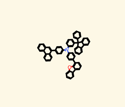 c1ccc(C2(c3cccc(N(c4ccc(-c5cc6ccccc6c6ccccc56)cc4)c4ccc(-c5cccc6c5oc5ccccc56)cc4)c3)c3ccccc3-c3ccccc32)cc1